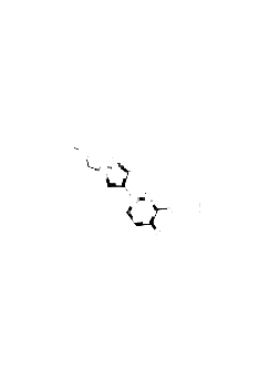 CCCOCn1cc(-n2ccc(=O)c(C(=O)O)n2)cn1